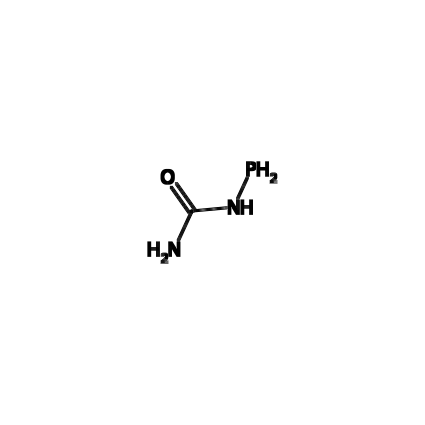 NC(=O)NP